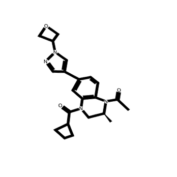 CC(=O)N1c2ccc(-c3cnn(C4COC4)c3)cc2N(C(=O)C2CCC2)C[C@@H]1C